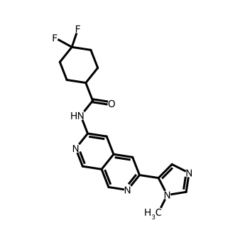 Cn1cncc1-c1cc2cc(NC(=O)C3CCC(F)(F)CC3)ncc2cn1